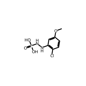 COc1ccc(Cl)c(NNP(=O)(O)O)c1